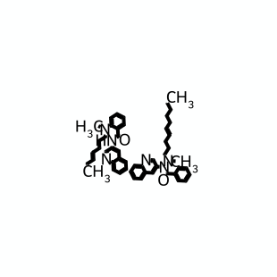 CCC=CCCCN(C)c1ccccc1C(=O)Nc1cnc2ccccc2c1.CCCCCC=CCCCN(C)N(C(=O)c1ccccc1)c1cnc2ccccc2c1